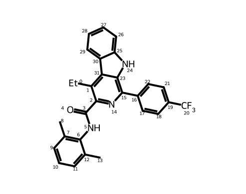 CCc1c(C(=O)Nc2c(C)cccc2C)nc(-c2ccc(C(F)(F)F)cc2)c2[nH]c3ccccc3c12